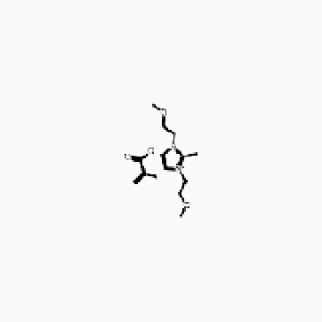 C=C(C)C(=O)[O-].COCCn1cc[n+](CCOC)c1C